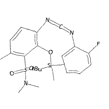 CN(C)S(=O)(=O)c1c(Cl)ccc(N=C=Nc2ccccc2F)c1O[Si](C)(C)C(C)(C)C